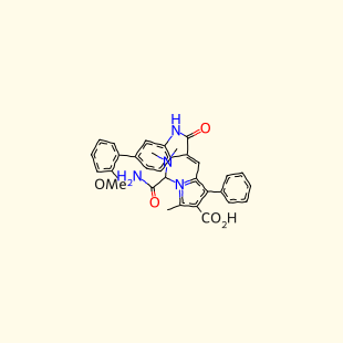 COc1ccccc1-c1ccc2c(c1)NC(=O)C2=Cc1c(-c2ccccc2)c(C(=O)O)c(C)n1C(C(N)=O)N(C)C